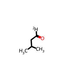 [2H]C(=O)CC(C)C